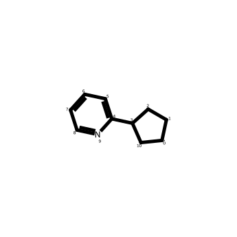 [CH]1CCC(c2ccccn2)C1